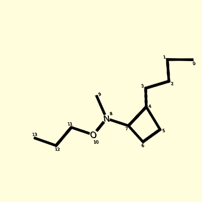 CCCCC1CCC1N(C)OCCC